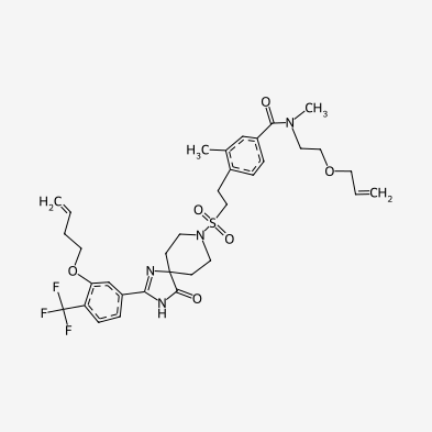 C=CCCOc1cc(C2=NC3(CCN(S(=O)(=O)CCc4ccc(C(=O)N(C)CCOCC=C)cc4C)CC3)C(=O)N2)ccc1C(F)(F)F